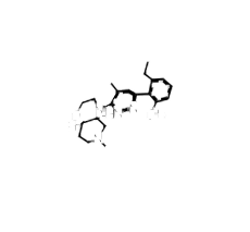 CCc1cccc(O)c1-c1cc(C)c(N2CCO[C@@H]3CCN(C)C[C@@H]32)nn1